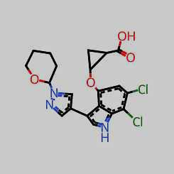 O=C(O)C1CC1Oc1cc(Cl)c(Cl)c2[nH]cc(-c3cnn(C4CCCCO4)c3)c12